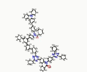 O=c1c2ccccc2c2cc(-c3ccc4c(c3)c3ccccc3n4-c3ccccc3)ccc2n1-c1ccc(-c2cc(-c3ccccc3)cc(-c3cccc(-c4cccc(-c5nc(-c6ccccc6)nc(-c6ccc7c(c6)c6ccccc6c(=O)n7-c6ccc(-c7nc(-c8ccccc8)nc(-c8ccccc8)n7)cc6)n5)c4)c3)c2)cc1